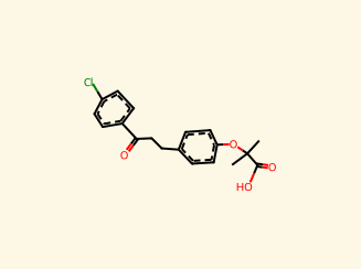 CC(C)(Oc1ccc(CCC(=O)c2ccc(Cl)cc2)cc1)C(=O)O